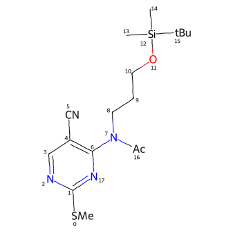 CSc1ncc(C#N)c(N(CCCO[Si](C)(C)C(C)(C)C)C(C)=O)n1